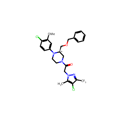 COc1cc(N2CCN(C(=O)Cn3nc(C(F)(F)F)c(Cl)c3C)C[C@@H]2COCc2ccccc2)ccc1Cl